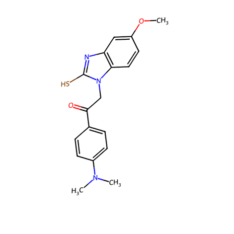 COc1ccc2c(c1)nc(S)n2CC(=O)c1ccc(N(C)C)cc1